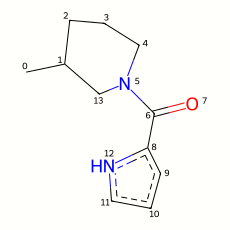 CC1CCCN(C(=O)c2ccc[nH]2)C1